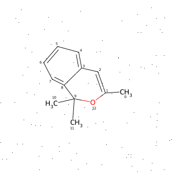 CC1=Cc2ccccc2C(C)(C)O1